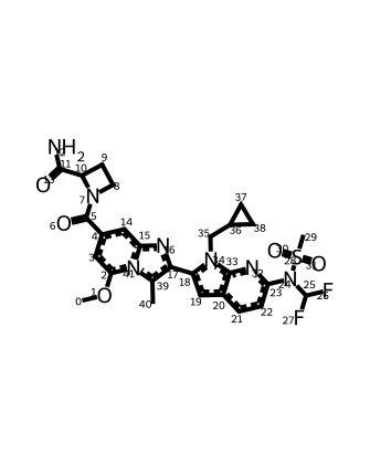 COc1cc(C(=O)N2CCC2C(N)=O)cc2nc(-c3cc4ccc(N(C(F)F)S(C)(=O)=O)nc4n3CC3CC3)c(C)n12